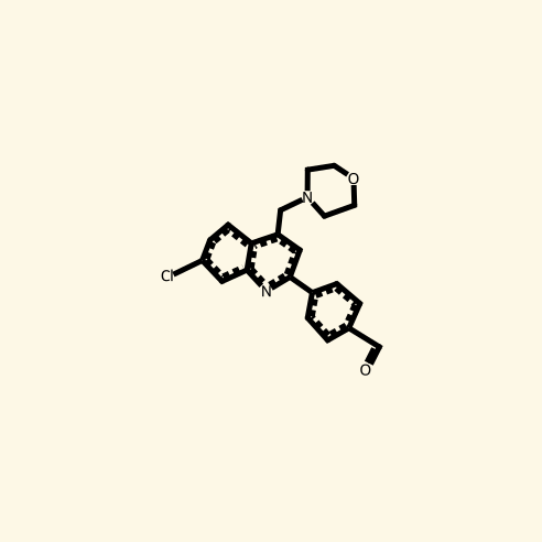 O=Cc1ccc(-c2cc(CN3CCOCC3)c3ccc(Cl)cc3n2)cc1